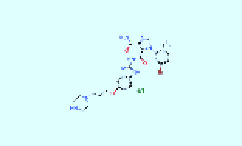 Cc1ccc(Br)cc1-n1cnc(C(N)=O)c1C(=O)Nc1nc2cc(OCCCN3CCNCC3)ccc2[nH]1.Cl